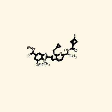 COc1cc(C(=O)OC(C)C)cc2nc(-c3cc4ccc([C@@H](C)NC(=O)C56CC(F)(C5)C6)nc4n3CC3CC3)n(C)c12